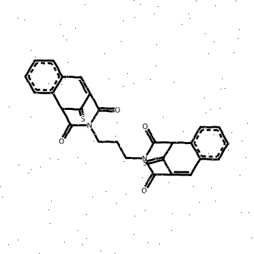 O=C1C2=Cc3ccccc3C(C(=O)N1CCCN1C(=O)C3=Cc4ccccc4C(C1=O)C3=S)C2=S